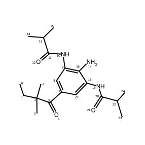 CCC(C)(C)C(=O)c1cc(NC(=O)C(C)C)c(N)c(NC(=O)C(C)C)c1